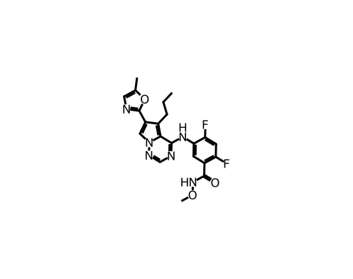 CCCc1c(-c2ncc(C)o2)cn2ncnc(Nc3cc(C(=O)NOC)c(F)cc3F)c12